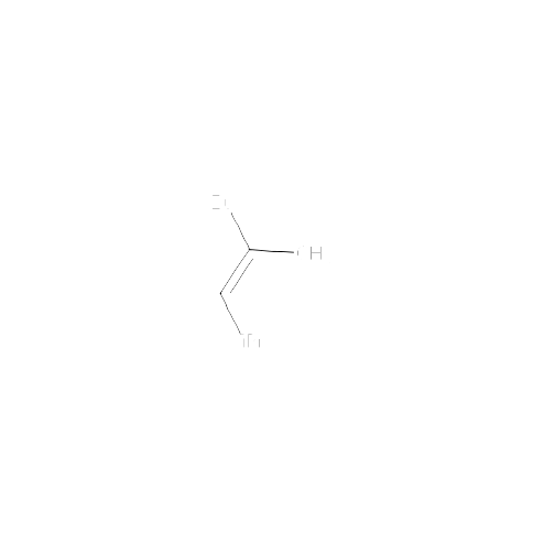 [CH2]C(C)/C=C(\C)CC